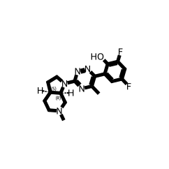 Cc1nc(N2CC[C@@H]3CCN(C)C[C@@H]32)nnc1-c1cc(F)cc(F)c1O